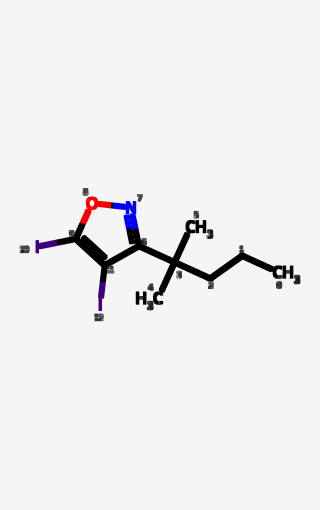 CCCC(C)(C)c1noc(I)c1I